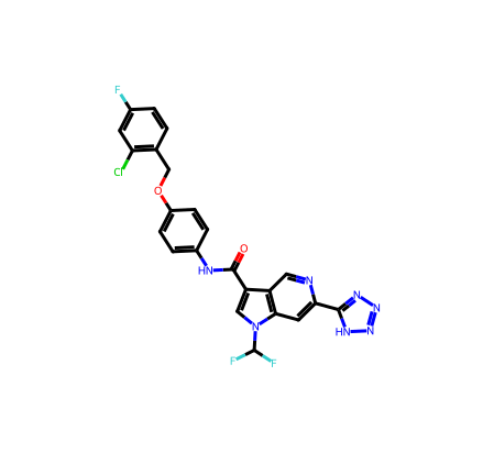 O=C(Nc1ccc(OCc2ccc(F)cc2Cl)cc1)c1cn(C(F)F)c2cc(-c3nnn[nH]3)ncc12